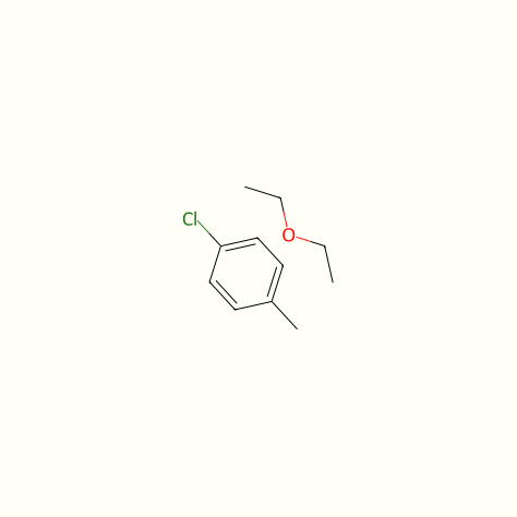 CCOCC.Cc1ccc(Cl)cc1